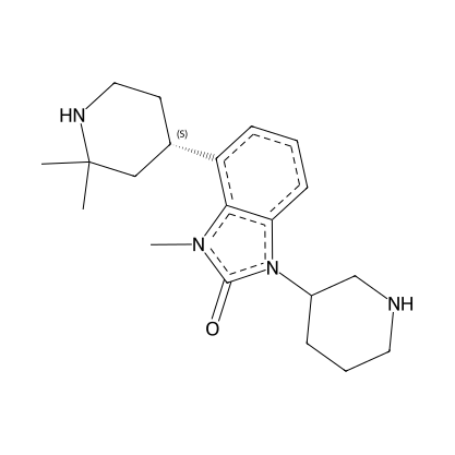 Cn1c(=O)n(C2CCCNC2)c2cccc([C@H]3CCNC(C)(C)C3)c21